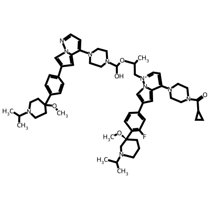 COC1(c2ccc(-c3cc4c(N5CCN(C(O)OC(C)C[n+]6ccc(N7CCN(C(=O)C8CC8)CC7)c7cc(-c8ccc([C@]9(OC)CCCN(C(C)C)C9)c(F)c8)cn76)CC5)ccnn4c3)cc2)CCN(C(C)C)CC1